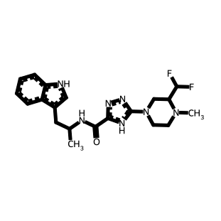 CC(Cc1c[nH]c2ccccc12)NC(=O)c1nnc(N2CCN(C)C(C(F)F)C2)[nH]1